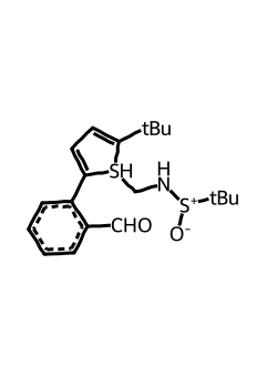 CC(C)(C)C1=CC=C(c2ccccc2C=O)[SH]1CN[S+]([O-])C(C)(C)C